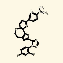 CN(C)c1ccc(-c2ccc3c(n2)-c2sc(-c4ncnn4-c4ccc(F)cc4F)cc2CCO3)cn1